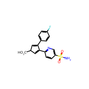 NS(=O)(=O)c1ccc(C2=CC(C(=O)O)C=C2c2ccc(F)cc2)nc1